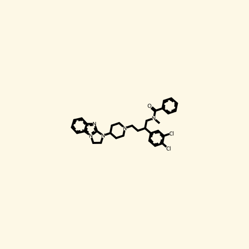 CN(CC(CCN1CCC(N2CCn3c2nc2ccccc23)CC1)c1ccc(Cl)c(Cl)c1)C(=O)c1ccccc1